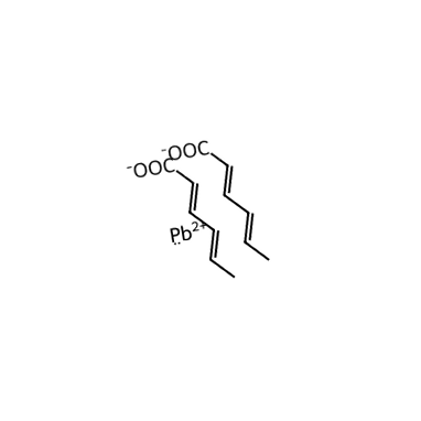 CC=CC=CC(=O)[O-].CC=CC=CC(=O)[O-].[Pb+2]